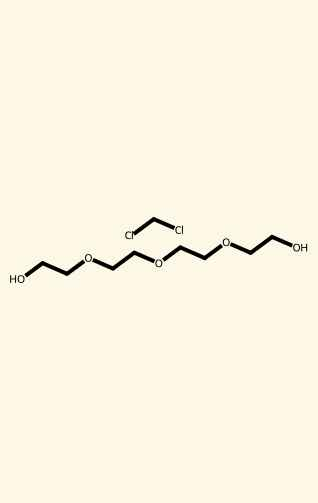 ClCCl.OCCOCCOCCOCCO